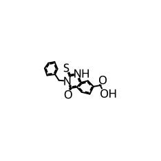 O=C(O)c1ccc2c(=O)n(Cc3ccccc3)c(=S)[nH]c2c1